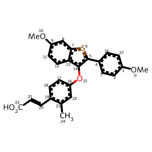 COc1ccc(-c2sc3cc(OC)ccc3c2Oc2ccc(C=CC(=O)O)c(C)c2)cc1